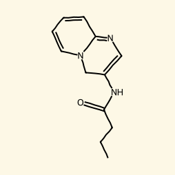 CCCC(=O)NC1=CN=C2C=CC=CN2C1